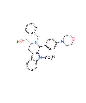 O=C(O)n1c2c(c3ccccc31)C[C@H](CO)N(Cc1ccccc1)C2c1ccc(N2CCOCC2)cc1